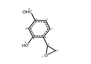 O=Cc1ccc(C2CO2)c(O)c1